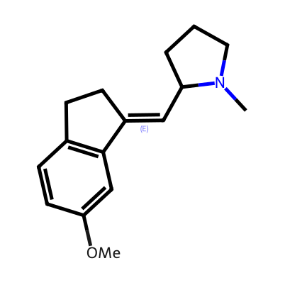 COc1ccc2c(c1)/C(=C/C1CCCN1C)CC2